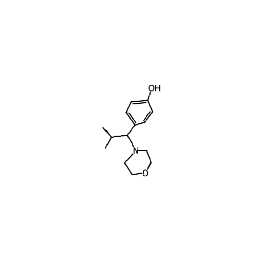 CC(C)C(c1ccc(O)cc1)N1CCOCC1